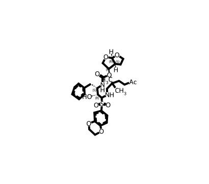 CC(=O)CCC(C)(C)CNC([C@H](O)[C@H](Cc1ccccc1)NC(=O)O[C@H]1CO[C@H]2OCC[C@H]21)S(=O)(=O)c1ccc2c(c1)OCCO2